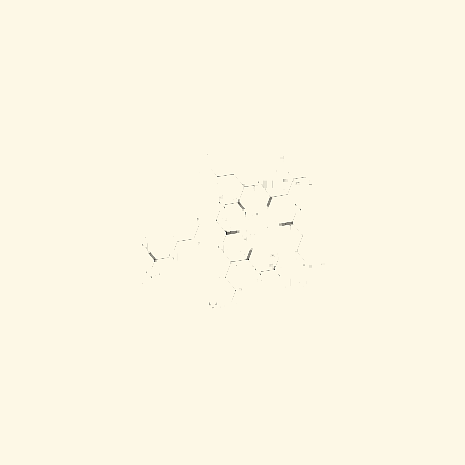 CCCCCCCCCCCCC(=O)N[C@H](C(=O)NC(CCC(=O)O)C(=O)N[C@@H](CCCNC(=N)N)C(=O)NC(CCSC)C(=O)N[C@@H](C)C=O)[C@@H](C)O